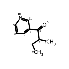 CCC(C)C(=O)c1cccnc1